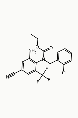 CCOC(=O)N(Cc1ccccc1Cl)c1c(N)cc(C#N)cc1C(F)(F)F